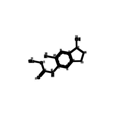 CC(C)(C)OC(=O)Nc1cc2c(cc1Br)C(O)CC2